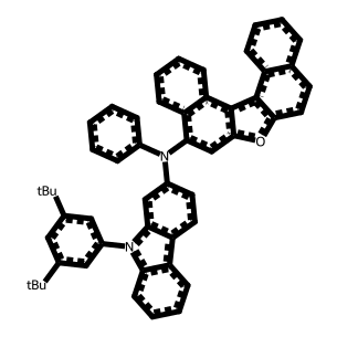 CC(C)(C)c1cc(-n2c3ccccc3c3ccc(N(c4ccccc4)c4cc5oc6ccc7ccccc7c6c5c5ccccc45)cc32)cc(C(C)(C)C)c1